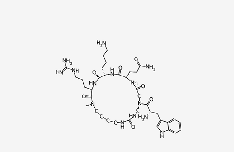 CN1CCCCNC(=O)NCN(C(=O)[C@@H](N)Cc2c[nH]c3ccccc23)CC(=O)NC(CCC(N)=O)C(=O)N[C@@H](CCCCN)C(=O)NC(CCCNC(=N)N)C1=O